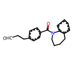 O=CCCc1ccc(C(=O)N2CCCCc3ccccc32)cc1